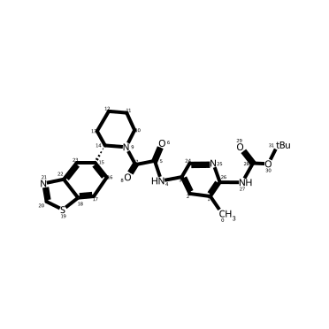 Cc1cc(NC(=O)C(=O)N2CCCC[C@H]2c2ccc3scnc3c2)cnc1NC(=O)OC(C)(C)C